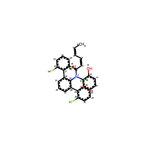 C=C(/C=C\C=C/C)N(c1ccccc1O)c1c(-c2c(F)cccc2F)cccc1-c1c(F)cccc1F